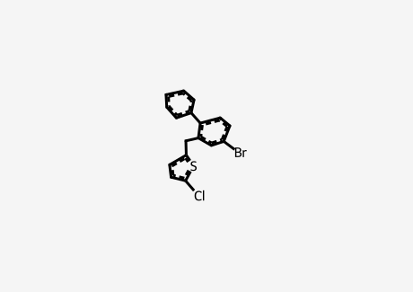 Clc1ccc(Cc2cc(Br)ccc2-c2ccccc2)s1